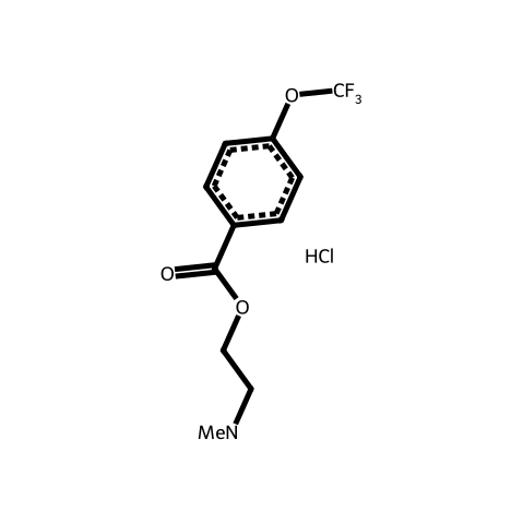 CNCCOC(=O)c1ccc(OC(F)(F)F)cc1.Cl